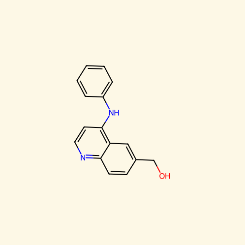 OCc1ccc2nccc(Nc3ccccc3)c2c1